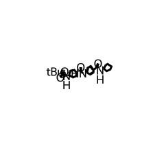 CC(C)(C)S(=O)(=O)N[C@H]1CC[C@H](C(=O)Nc2ccc(C(=O)NC3CCCCC3)cc2)CC1